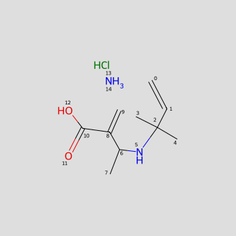 C=CC(C)(C)NC(C)C(=C)C(=O)O.Cl.N